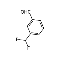 O=Cc1cccc(C(F)F)c1